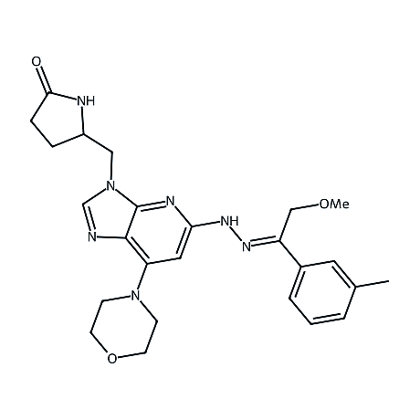 COC/C(=N\Nc1cc(N2CCOCC2)c2ncn(CC3CCC(=O)N3)c2n1)c1cccc(C)c1